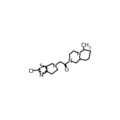 CC1CCCC2CN(C(=O)CN3CCc4nc(Cl)sc4C3)CCN12